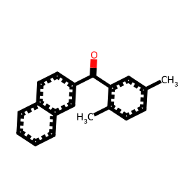 Cc1ccc(C)c(C(=O)c2ccc3ccccc3c2)c1